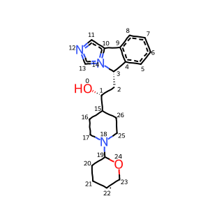 O[C@H](C[C@H]1c2ccccc2-c2cncn21)C1CCN(C2CC[CH]CO2)CC1